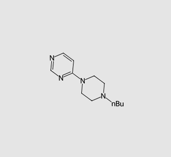 [CH2]CCCN1CCN(c2ccncn2)CC1